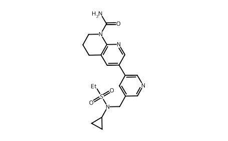 CCS(=O)(=O)N(Cc1cncc(-c2cnc3c(c2)CCCN3C(N)=O)c1)C1CC1